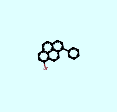 Brc1ccc2ccc3ccc(-c4ccccc4)c4ccc1c2c34